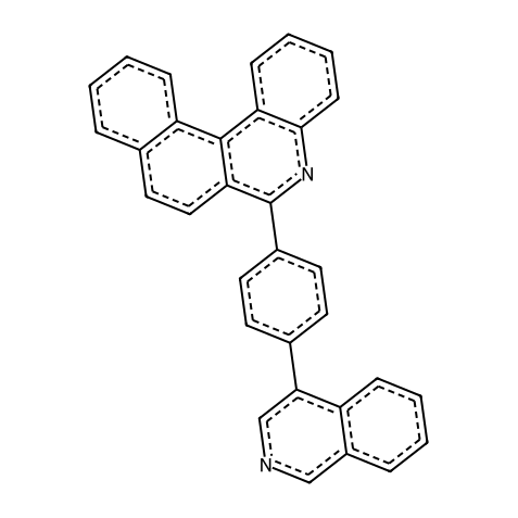 c1ccc2c(-c3ccc(-c4nc5ccccc5c5c4ccc4ccccc45)cc3)cncc2c1